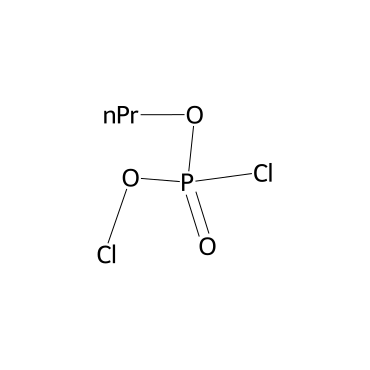 CCCOP(=O)(Cl)OCl